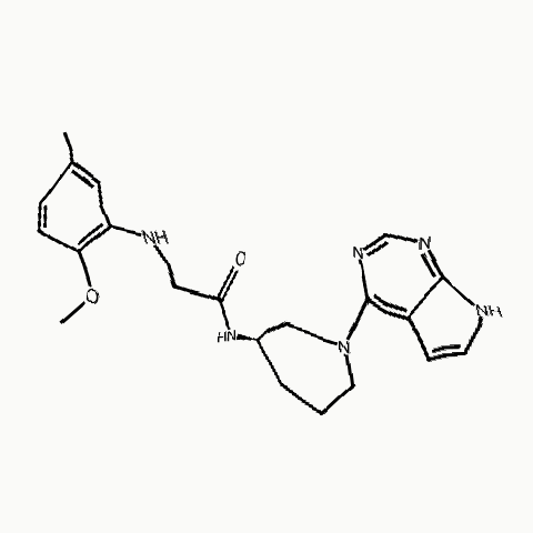 COc1ccc(C)cc1NCC(=O)N[C@@H]1CCCN(c2ncnc3[nH]ccc23)C1